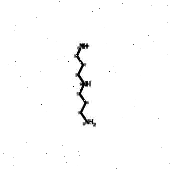 [NH]CCCNCCCN